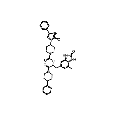 Cc1cc(CC(OC(=O)N2CCC(n3cc(-c4ccccc4)[nH]c3=O)CC2)C(=O)N2CCC(c3ccccn3)CC2)cc2[nH]c(=O)[nH]c12